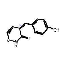 O=C1NOC=C/C1=C/c1ccc(O)cc1